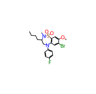 CCCCC1CN(c2ccc(F)cc2)c2cc(Br)c(OC)cc2S(=O)(=O)N1C